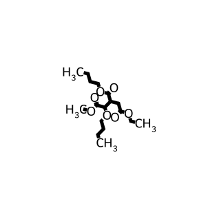 CCCCOC(=O)C(CC(=O)OCC)C(OCCCC)C(=O)OC